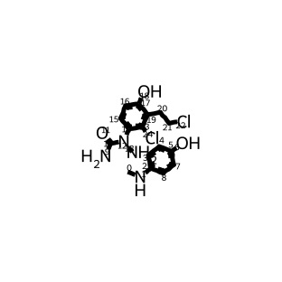 CNc1ccc(O)cc1.NC(=O)N(N)c1ccc(O)c(CCCl)c1Cl